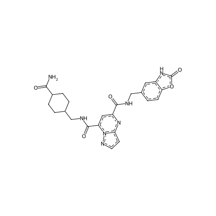 NC(=O)C1CCC(CNC(=O)c2cc(C(=O)NCc3ccc4oc(=O)[nH]c4c3)nc3ccnn23)CC1